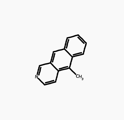 Cc1c2ccccc2cc2cnccc12